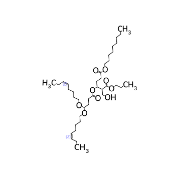 CC/C=C\CCCCOC(CCC(=O)OC(CCC(=O)OCCCCCCCCC)C(CO)C(=O)OCCC)OCCCC/C=C\CC